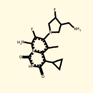 Cc1c(N2CC(F)C(CN)C2)c(F)c(N)n2c(=O)[nH]c(=O)c(C3CC3)c12